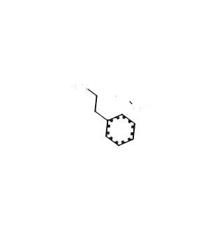 NCCc1ccccc1.O=CO